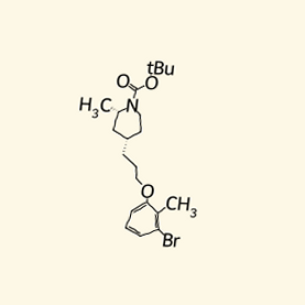 Cc1c(Br)cccc1OCCC[C@H]1CCN(C(=O)OC(C)(C)C)[C@@H](C)C1